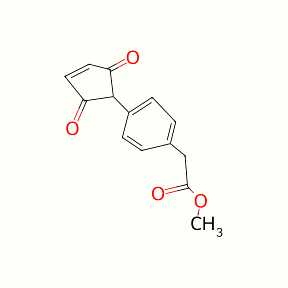 COC(=O)Cc1ccc(C2C(=O)C=CC2=O)cc1